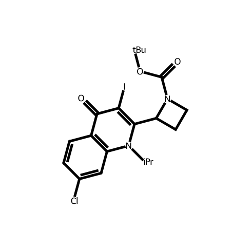 CC(C)n1c(C2CCN2C(=O)OC(C)(C)C)c(I)c(=O)c2ccc(Cl)cc21